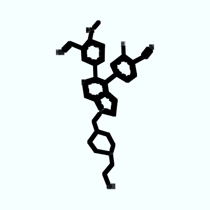 CNc1ccc(-c2ncc3c(ccn3CC3CCN(CCO)CC3)c2-c2ccc(C#N)c(F)c2)cc1C=N